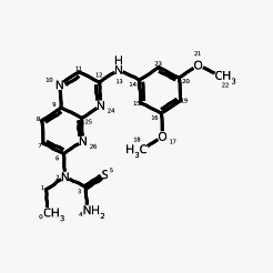 CCN(C(N)=S)c1ccc2ncc(Nc3cc(OC)cc(OC)c3)nc2n1